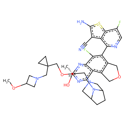 COC1CN(CC2(COc3nc(N4C5CCC4CN(C[C@@H](C)O)C5)c4c5c(c(-c6ncc(F)c7sc(N)c(C#N)c67)c(F)c4n3)COC5)CC2)C1